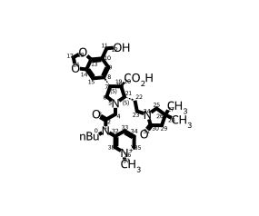 CCCCN(C(=O)CN1C[C@H](c2cc(CO)c3c(c2)OCO3)[C@@H](C(=O)O)[C@@H]1CCN1CC(C)(C)CC1=O)c1ccc[n+](C)c1